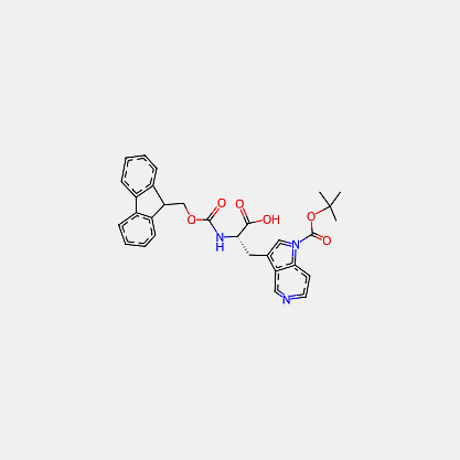 CC(C)(C)OC(=O)n1cc(C[C@H](NC(=O)OCC2c3ccccc3-c3ccccc32)C(=O)O)c2cnccc21